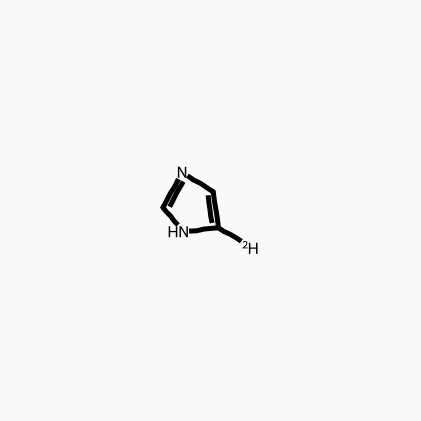 [2H]c1cnc[nH]1